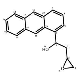 OC(CC1CO1)c1cccc2cc3ccccc3cc12